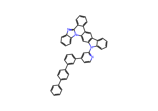 c1ccc(-c2ccc(-c3cccc(-c4ccnc(-n5c6ccccc6c6cc7c8ccccc8c8nc9ccccc9n8c7cc65)c4)c3)cc2)cc1